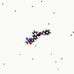 CCOC(=O)C1(N)CCC(c2ccc3c(c2)CCC/C3=N\OCCc2ccccc2)C1